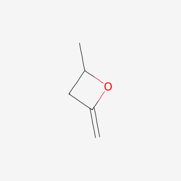 C=C1CC(C)O1